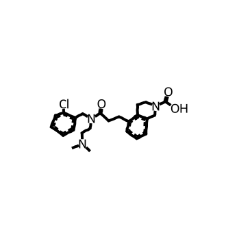 CN(C)CCN(Cc1ccccc1Cl)C(=O)CCc1cccc2c1CCN(C(=O)O)C2